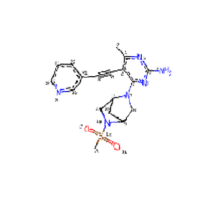 Cc1nc(N)nc(N2CC3CC2CN3S(C)(=O)=O)c1C#Cc1cccnc1